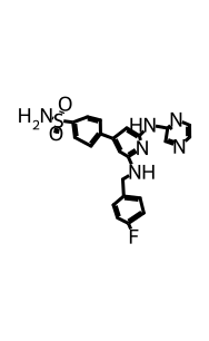 NS(=O)(=O)c1ccc(-c2cc(NCc3ccc(F)cc3)nc(Nc3cnccn3)c2)cc1